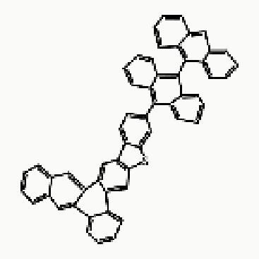 c1ccc2cc3c(cc2c1)c1ccccc1c1cc2sc4cc(-c5c6ccccc6c(-c6c7ccccc7cc7ccccc67)c6ccccc56)ccc4c2cc31